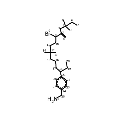 C=C(CC(C)(C)CC)C(Br)CCC(C)(C)CCCC(CC)c1ccc(CN)cc1